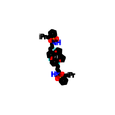 CC(C)Cc1ccccc1S(=O)(=O)NCCCc1ccc(F)[c]([Ti]([C]2=CC=CC2)([C]2=CC=CC2)[c]2c(F)ccc(CCCNS(=O)(=O)c3ccccc3CC(C)C)c2F)c1F